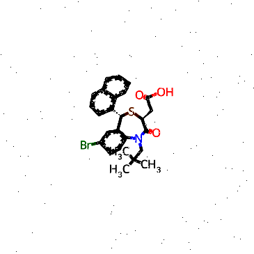 CC(C)(C)CN1C(=O)[C@H](CC(=O)O)S[C@@H](c2cccc3ccccc23)c2cc(Br)ccc21